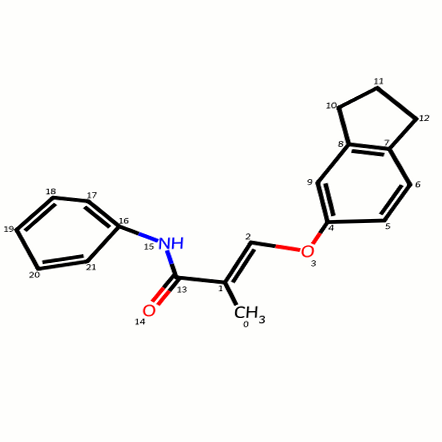 C/C(=C\Oc1ccc2c(c1)CCC2)C(=O)Nc1ccccc1